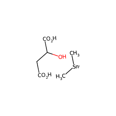 O=C(O)CC(O)C(=O)O.[CH3][Sn][CH3]